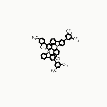 N#Cc1ccc(-n2c3ccccc3c3cc(-c4cc(C(F)(F)F)cc(C(F)(F)F)c4)ccc32)c(-c2ccc(-c3ccc(C(F)(F)F)cc3C(F)(F)F)cc2-n2c3ccccc3c3cc(-c4cc(C(F)(F)F)cc(C(F)(F)F)c4)ccc32)c1